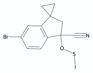 N#CC1(OSI)CC2(CC2)c2cc(Br)ccc21